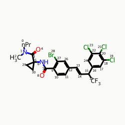 CCCN(C)C(=O)C1(NC(=O)c2ccc(/C=C/C(c3cc(Cl)c(Cl)c(Cl)c3)C(F)(F)F)cc2Br)CC1